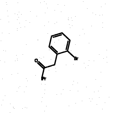 CC(C)C(=O)Cc1ccccc1Br